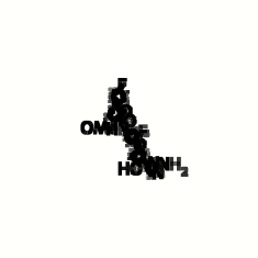 COc1ccn(-c2ccc(F)cc2)c(=O)c1C(=O)Nc1ccc(Oc2ccc(O)c(-c3ccnc(N)n3)c2)c(F)c1